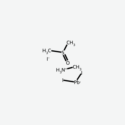 CS(C)=O.C[NH3+].[I-].[I][Pb][I]